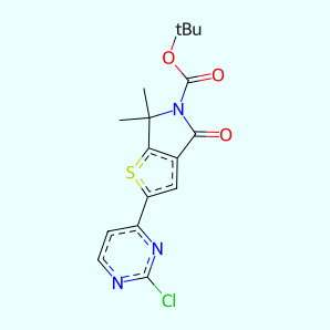 CC(C)(C)OC(=O)N1C(=O)c2cc(-c3ccnc(Cl)n3)sc2C1(C)C